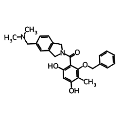 Cc1c(O)cc(O)c(C(=O)N2Cc3ccc(CN(C)C)cc3C2)c1OCc1ccccc1